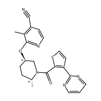 Cc1c(C#N)ccnc1O[C@@H]1CC[C@@H](C)N(C(=O)c2sccc2-c2ncccn2)C1